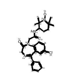 CC1(C)CCC(NC(=O)CN2C(=O)CN=C(c3ccccc3)c3cc(Cl)ccc32)C(C)(C)N1[O]